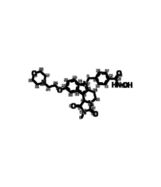 CN1C(=O)C2c3c(n(Cc4ccc(C(=O)NO)cc4)c4ccc(OCCN5CCOCC5)cc34)CCN2C1=O